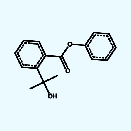 CC(C)(O)c1ccccc1C(=O)Oc1ccccc1